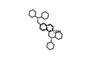 COc1ccc2cc(CP(C3CCCCC3)C3CCCCC3)ccc2c1CP(C1CCCCC1)C1CCCCC1